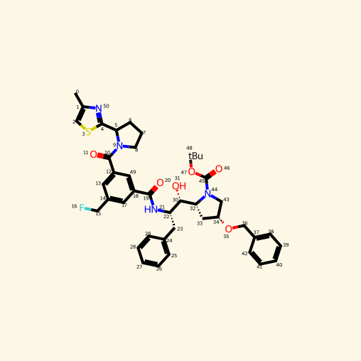 Cc1csc(C2CCCN2C(=O)c2cc(CF)cc(C(=O)N[C@@H](Cc3ccccc3)[C@H](O)[C@H]3C[C@@H](OCc4ccccc4)CN3C(=O)OC(C)(C)C)c2)n1